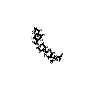 CC(C)N=[S@@](C)(=O)c1cnc(N2CCN([C@@H](C)c3ccc4c(c3)OCC4)CC2)nc1